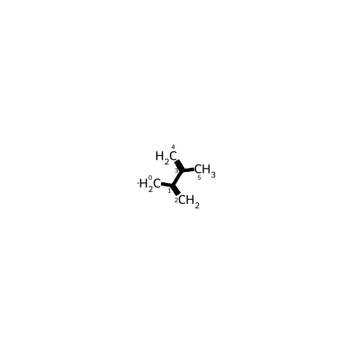 [CH2]C(=C)C(=C)C